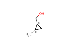 C[C@H]1C[C@H]1CO